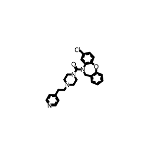 O=C(N1CCN(CCc2ccncc2)CC1)N1Cc2ccccc2Oc2ccc(Cl)cc21